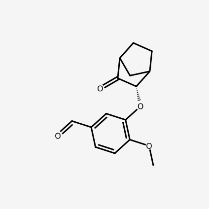 COc1ccc(C=O)cc1O[C@@H]1C(=O)C2CCC1C2